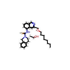 CCCCCCCCOCc1cc2c(NC(=S)N3Cc4ccccc4C[C@H]3CCO)cccc2cn1